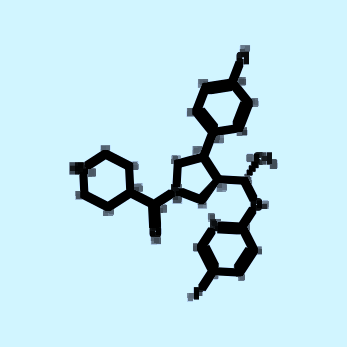 C[C@H](Oc1ccc(F)cn1)[C@H]1CN(C(=O)C2CCNCC2)CC1c1ccc(Cl)cc1